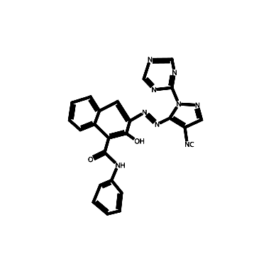 [C-]#[N+]c1cnn(-c2ncncn2)c1/N=N/c1cc2ccccc2c(C(=O)Nc2ccccc2)c1O